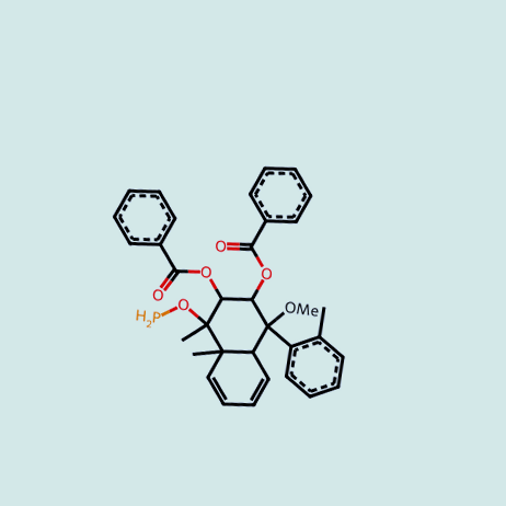 COC1(c2ccccc2C)C(OC(=O)c2ccccc2)C(OC(=O)c2ccccc2)C(C)(OP)C2(C)C=CC=CC12